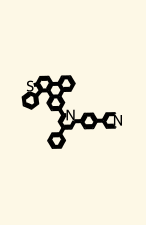 c1ccc(-c2cc(-c3ccc(-c4ccncc4)cc3)nc(-c3ccc4c(c3)c3ccccc3c3ccc5sc6ccccc6c5c34)c2)cc1